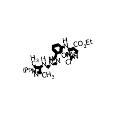 CCOC(=O)c1cnc(Cl)nc1Nc1cccc(-c2ncn(CNc3c(C)nn(C(C)C)c3C)n2)c1OC